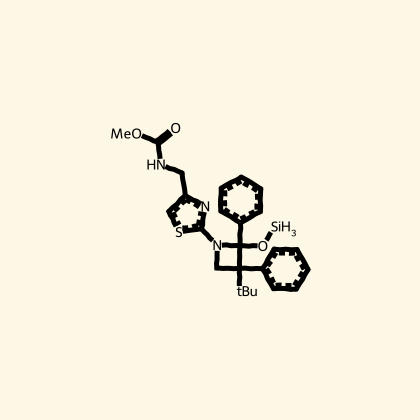 COC(=O)NCc1csc(N2CC(c3ccccc3)(C(C)(C)C)C2(O[SiH3])c2ccccc2)n1